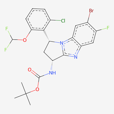 CC(C)(C)OC(=O)N[C@@H]1C[C@H](c2c(Cl)cccc2OC(F)F)n2c1nc1cc(F)c(Br)cc12